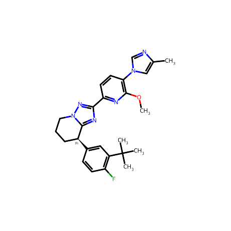 COc1nc(-c2nc3n(n2)CCC[C@@H]3c2ccc(F)c(C(C)(C)C)c2)ccc1-n1cnc(C)c1